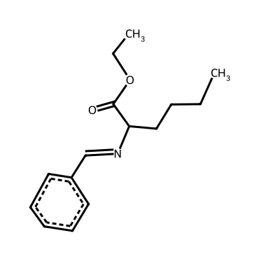 CCCCC(N=Cc1ccccc1)C(=O)OCC